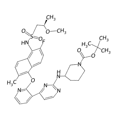 CO[C@H](C)CS(=O)(=O)Nc1c(F)ccc2c(Oc3ncccc3-c3ccnc(NC4CCCN(C(=O)OC(C)(C)C)C4)n3)c(C)ccc12